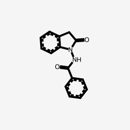 O=C(NN1C(=O)Cc2ccccc21)c1ccccc1